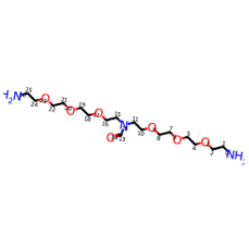 NCCOCCOCCOCCN(C=O)CCOCCOCCOCCN